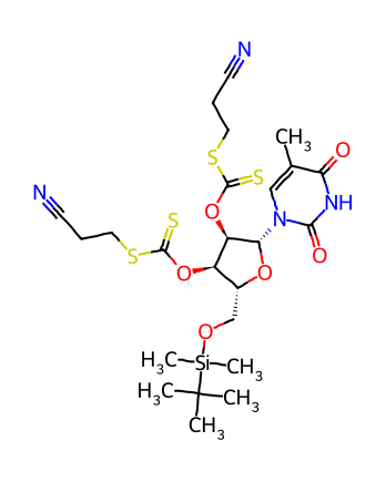 Cc1cn([C@@H]2O[C@H](CO[Si](C)(C)C(C)(C)C)[C@@H](OC(=S)SCCC#N)[C@H]2OC(=S)SCCC#N)c(=O)[nH]c1=O